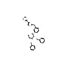 CC[C@H]1O[C@@H](c2ccc(Cl)c(Cc3ncc(-c4nncs4)s3)c2)[C@H](OCc2ccccc2)[C@@H](OCc2ccccc2)[C@@H]1C